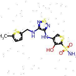 Cc1ccc(CNc2nsnc2Nc2csc(S(N)(=O)=O)c2O)s1